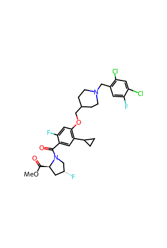 COC(=O)[C@@H]1C[C@@H](F)CN1C(=O)c1cc(C2CC2)c(OCC2CCN(Cc3cc(F)c(Cl)cc3Cl)CC2)cc1F